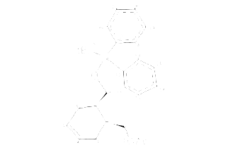 CC(=O)OC[C@H]1CC=CC[C@H]1CO[Si](c1ccccc1)(c1ccccc1)C(C)(C)C